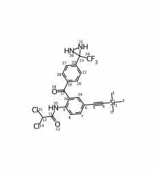 C[Si](C)(C)C#Cc1ccc(NC(=O)C(Cl)Cl)c(C(=O)c2ccc(C3(C(F)(F)F)NN3)cc2)c1